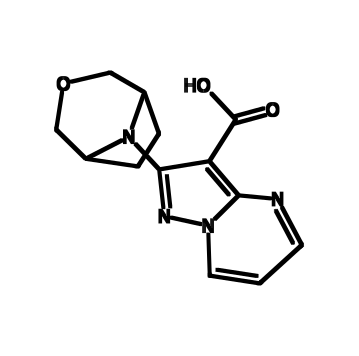 O=C(O)c1c(N2C3CCC2COC3)nn2cccnc12